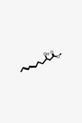 CC=CC=CCCC(O)CC(=O)OC